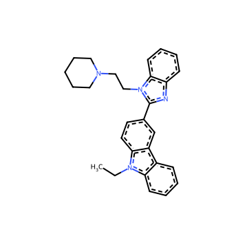 CCn1c2ccccc2c2cc(-c3nc4ccccc4n3CCN3CCCCC3)ccc21